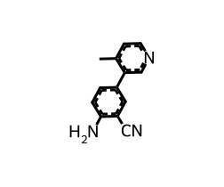 Cc1ccncc1-c1ccc(N)c(C#N)c1